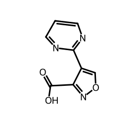 O=C(O)c1nocc1-c1ncccn1